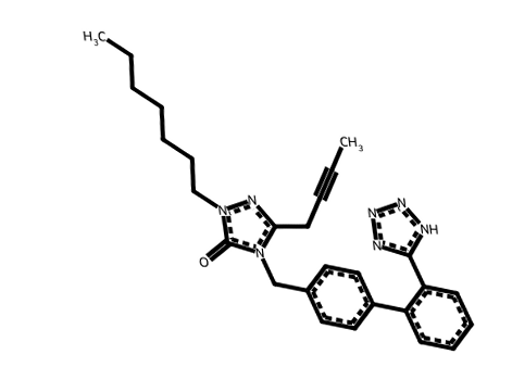 CC#CCc1nn(CCCCCCC)c(=O)n1Cc1ccc(-c2ccccc2-c2nnn[nH]2)cc1